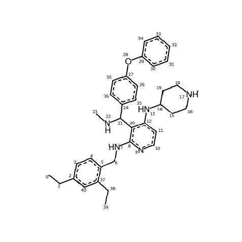 CCc1ccc(CNc2nccc(NC3CCNCC3)c2C(NC)c2ccc(Oc3ccccc3)cc2)c(CC)c1